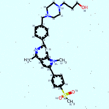 Cc1nc(-c2ccc(CN3CCN(CCCO)CC3)cc2)cc2c1cc(-c1ccc(S(C)(=O)=O)cc1)n2C